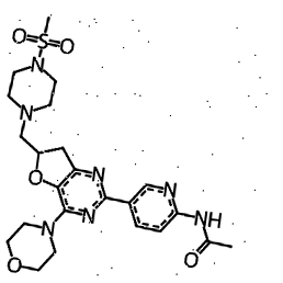 CC(=O)Nc1ccc(-c2nc3c(c(N4CCOCC4)n2)OC(CN2CCN(S(C)(=O)=O)CC2)C3)cn1